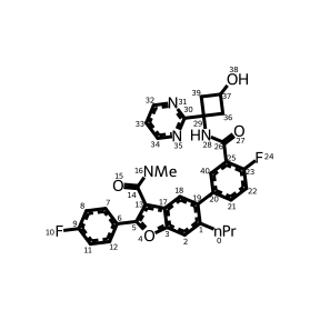 CCCc1cc2oc(-c3ccc(F)cc3)c(C(=O)NC)c2cc1-c1ccc(F)c(C(=O)NC2(c3ncccn3)CC(O)C2)c1